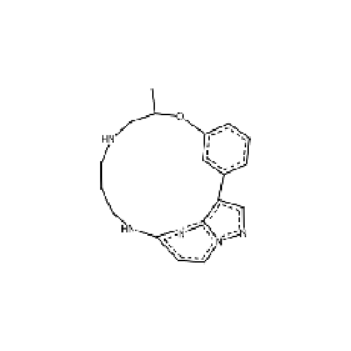 CC1CNCCCNc2ccn3ncc(c3n2)-c2cccc(c2)O1